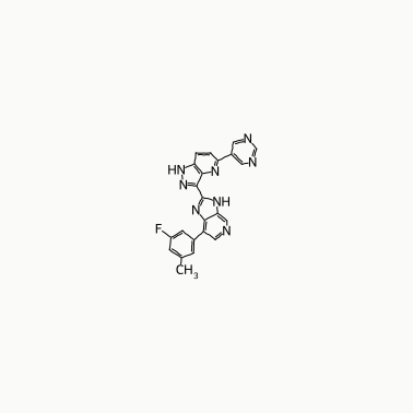 Cc1cc(F)cc(-c2cncc3[nH]c(-c4n[nH]c5ccc(-c6cncnc6)nc45)nc23)c1